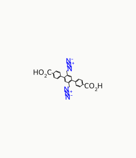 [N-]=[N+]=NCc1cc(-c2ccc(C(=O)O)cc2)c(CN=[N+]=[N-])cc1-c1ccc(C(=O)O)cc1